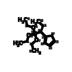 CCO[Si](OCC)(OCC)[C@@H](CC)C1=CC=CC1